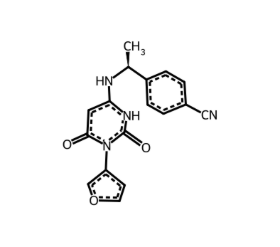 C[C@H](Nc1cc(=O)n(-c2ccoc2)c(=O)[nH]1)c1ccc(C#N)cc1